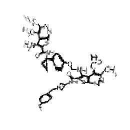 Cc1nnc2sc(C(=O)NC3(c4ccc(OCNc5c(C(=O)NC6CN(Cc7ccc(F)cc7)C6)sc6nnc(C)c(C)c56)cc4)CC3)c(N)c2c1C